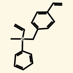 C=Cc1ccc(C[Si](C)(C=C)c2ccccc2)cc1